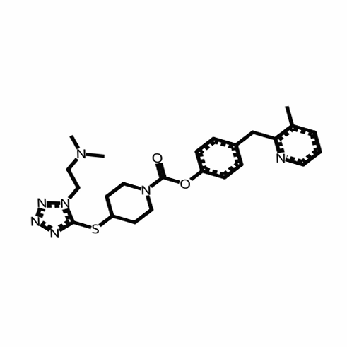 Cc1cccnc1Cc1ccc(OC(=O)N2CCC(Sc3nnnn3CCN(C)C)CC2)cc1